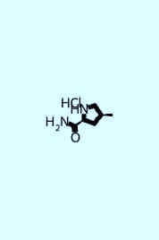 C[C@@H]1CN[C@H](C(N)=O)C1.Cl